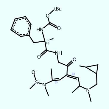 C/C(=C\C(=C/C(C)N(C)CC1CC1C)C(=O)CNC(=O)[C@@](C)(Cc1ccccc1)NC(=O)OC(C)(C)C)N(C)[S+](C)[O-]